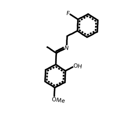 COc1ccc(/C(C)=N/Cc2ccccc2F)c(O)c1